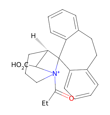 CCC(=O)[N+]12CCC[C@H](C1C(=O)O)C21c2ccccc2CCc2ccccc21